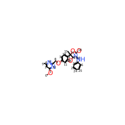 COc1cc(C)nc(COc2ccc(C3(C)OC(=O)N(Nc4ccccc4)C3=O)cc2)n1